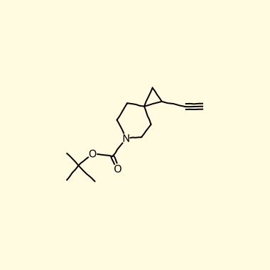 C#CC1CC12CCN(C(=O)OC(C)(C)C)CC2